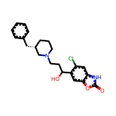 O=c1[nH]c2cc(Cl)c(C(O)CCN3CCC[C@@H](Cc4ccccc4)C3)cc2o1